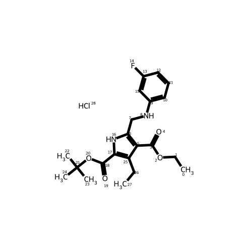 CCOC(=O)c1c(CNc2cccc(F)c2)[nH]c(C(=O)OC(C)(C)C)c1CC.Cl